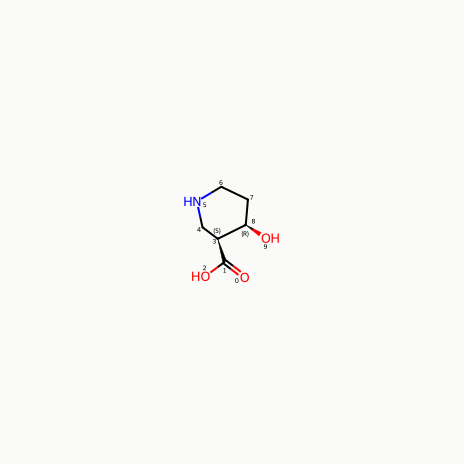 O=C(O)[C@H]1CNCC[C@H]1O